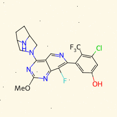 COc1nc(N2CC3CCC(C2)N3)c2cnc(-c3cc(O)cc(Cl)c3C(F)(F)F)c(F)c2n1